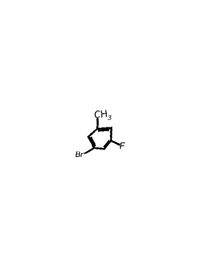 Cc1cc(F)cc(Br)c1